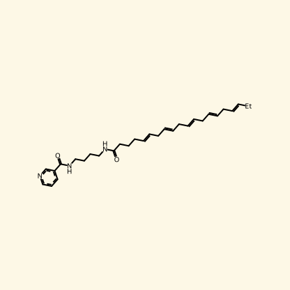 CCC=CCC=CCC=CCC=CCC=CCCCC(=O)NCCCCNC(=O)c1cccnc1